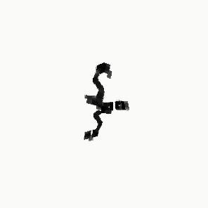 Cl.Cl.NCC[Te][Te]CCN